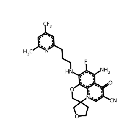 Cc1cc(C(F)(F)F)cc(CCCNc2c(F)c(N)c3c(=O)c(C#N)cn4c3c2OCC42CCOC2)n1